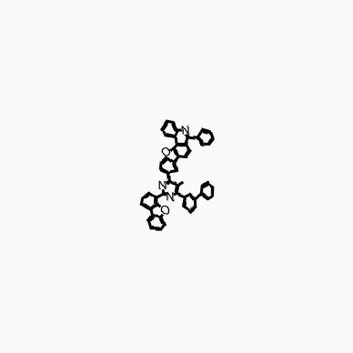 Cc1c(-c2cccc(-c3ccccc3)c2)nc(-c2cccc3c2oc2ccccc23)nc1-c1ccc2oc3c(ccc4c(-c5ccccc5)nc5ccccc5c43)c2c1